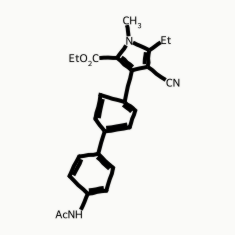 CCOC(=O)c1c(-c2ccc(-c3ccc(NC(C)=O)cc3)cc2)c(C#N)c(CC)n1C